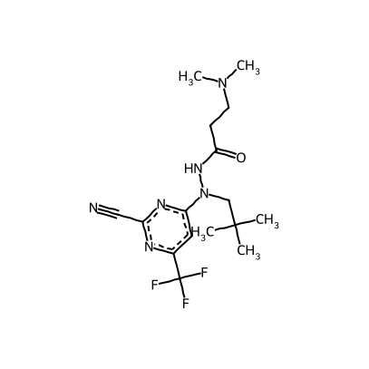 CN(C)CCC(=O)NN(CC(C)(C)C)c1cc(C(F)(F)F)nc(C#N)n1